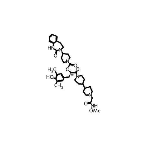 CONC(=O)CN1CCC(C2CCN(C(=O)[C@@H](Cc3cc(C)c(O)c(C)c3)OC(=O)N3CCC(N4CCc5ccccc5NC4=O)CC3)CC2)CC1